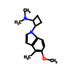 COc1ccc2c(ccn2C2CCC2N(C)C)c1C